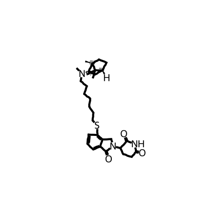 CN(CCCCCCCSc1cccc2c1CN(C1CCC(=O)NC1=O)C2=O)[C@H]1C[C@H]2CC[C@]1(C)C2(C)C